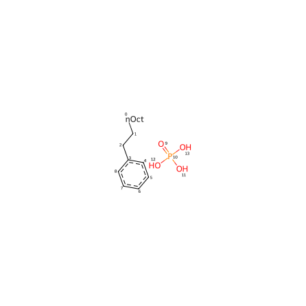 CCCCCCCCCCc1ccccc1.O=P(O)(O)O